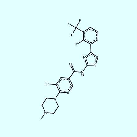 CN1CCN(c2ncc(C(=O)Nc3nc(-c4cccc(C(F)(F)F)c4F)cs3)cc2Cl)CC1